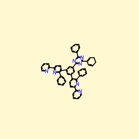 C1=CC(c2nc(-c3ccccc3)nc(-c3cc(-c4ccc(-c5ccccn5)nc4-c4ccccc4)cc(-c4ccc(-c5ccccn5)nc4-c4ccccc4)c3)n2)=CCC1